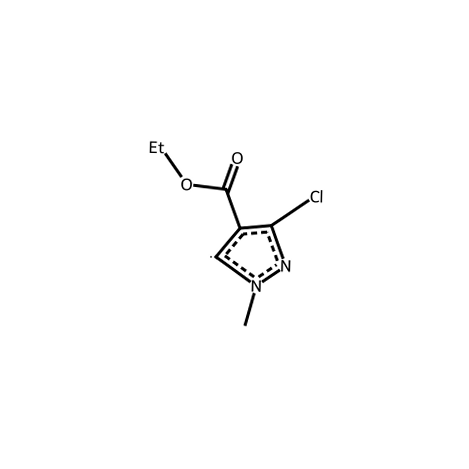 CCOC(=O)c1[c]n(C)nc1Cl